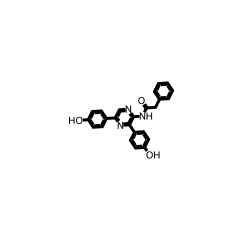 O=C(Cc1ccccc1)Nc1ncc(-c2ccc(O)cc2)nc1-c1ccc(O)cc1